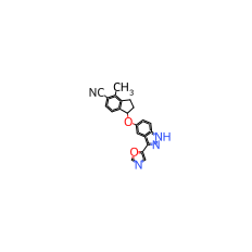 Cc1c(C#N)ccc2c1CC[C@H]2Oc1ccc2[nH]nc(-c3cnco3)c2c1